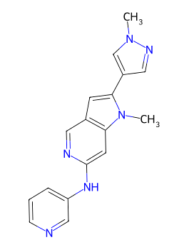 Cn1cc(-c2cc3cnc(Nc4cccnc4)cc3n2C)cn1